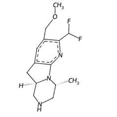 COCc1cc2c(nc1C(F)F)N1[C@@H](CNC[C@H]1C)C2